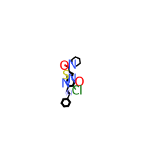 O=C(c1cn2c(=O)c(Cl)c(/C=C/c3ccccc3)nc2s1)N1CCCCC1